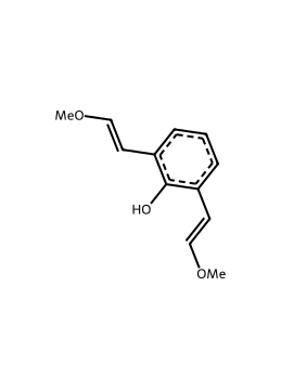 COC=Cc1cccc(C=COC)c1O